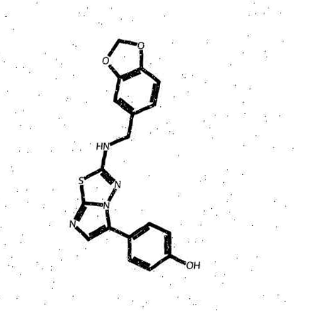 Oc1ccc(-c2cnc3sc(NCc4ccc5c(c4)OCO5)nn23)cc1